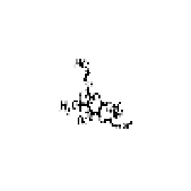 CC(C)(C)C1C(COCCO)OC(O)C(OC(O)CO)C1O